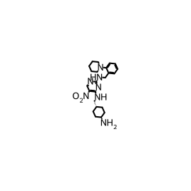 N[C@H]1CC[C@H](CNc2nc(NCc3ccccc3N3CCCCC3)ncc2[N+](=O)[O-])CC1